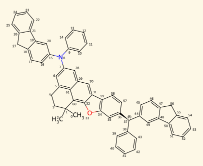 CC1(C)CCc2cc(N(c3ccccc3)c3ccc4c(c3)-c3ccccc3C4)cc3cc4c(oc5cc([C@H](c6ccccc6)c6ccc7c(c6)-c6ccccc6C7)ccc54)c1c23